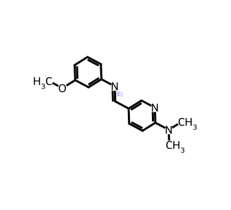 COc1cccc(/N=C/c2ccc(N(C)C)nc2)c1